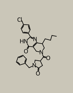 CCCCC1CN(C(=O)C2CC(=O)N(Cc3ccccc3)C2)Cc2c1nc(-c1ccc(Cl)cc1)[nH]c2=O